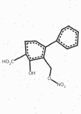 O=C(O)c1ccc(-c2ccccc2)c(CO[N+](=O)[O-])c1O